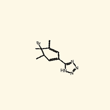 CC1=CC(c2nnn[nH]2)=CC(C)C1(C)Br